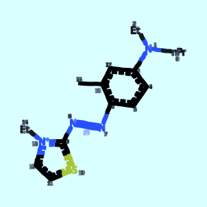 CCCN(CC)c1ccc(/N=N/c2scc[n+]2CC)c(C)c1